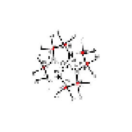 CC(C)(C)[N](C(C)(C)C)[Mo]([N](C(C)(C)C)C(C)(C)C)([N](C(C)(C)C)C(C)(C)C)[N](C(C)(C)C)C(C)(C)C